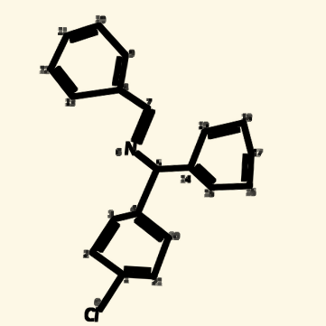 Clc1ccc(C(/N=C/c2ccccc2)c2ccccc2)cc1